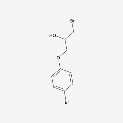 OC(CBr)COc1ccc(Br)cc1